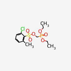 CCOP(=O)(COS(=O)(=O)c1c(C)cccc1Cl)OCC